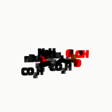 CCCCOCCCC.CCCS(=O)(=O)O.O=C(O)/C=C\C(=O)O.[NaH]